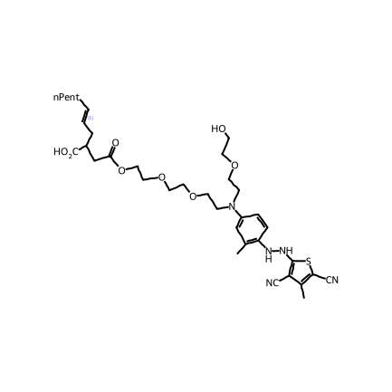 CCCCC/C=C/CC(CC(=O)OCCOCCOCCN(CCOCCO)c1ccc(NNc2sc(C#N)c(C)c2C#N)c(C)c1)C(=O)O